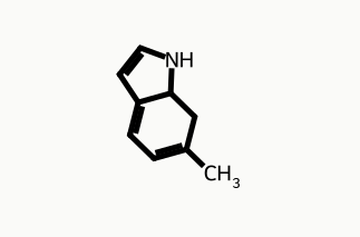 CC1=CC=C2C=CNC2C1